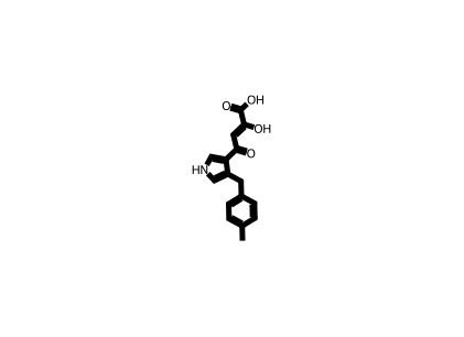 Cc1ccc(Cc2c[nH]cc2C(=O)C=C(O)C(=O)O)cc1